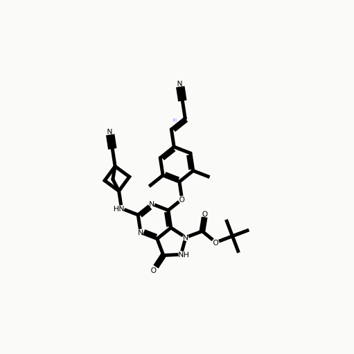 Cc1cc(/C=C/C#N)cc(C)c1Oc1nc(NC23CC(C#N)(C2)C3)nc2c(=O)[nH]n(C(=O)OC(C)(C)C)c12